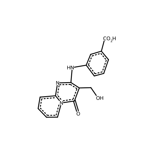 O=C(O)c1cccc(Nc2nc3ccccn3c(=O)c2CO)c1